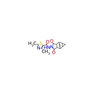 Cc1nc(C)c(C(=O)NN2C(=O)C3C4C=CC(C5CC45)C3C2=O)s1